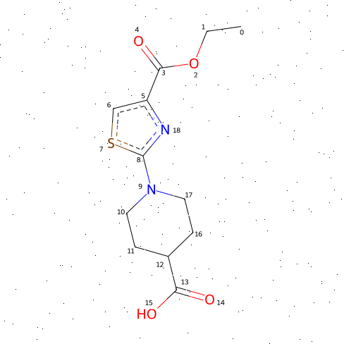 CCOC(=O)c1csc(N2CCC(C(=O)O)CC2)n1